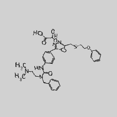 CN(C)CCN(Cc1ccccc1)C(=O)Nc1ccc(-c2nnc(CSCCOc3ccccc3)o2)cc1.O=C(O)C(=O)O